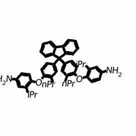 CCCc1cc(C2(c3ccc(Oc4ccc(N)cc4C(C)C)c(CCC)c3)c3ccccc3-c3ccccc32)ccc1Oc1ccc(N)cc1C(C)C